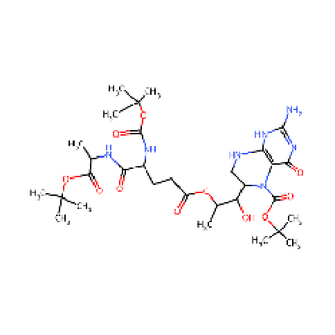 CC(NC(=O)C(CCC(=O)OC(C)C(O)C1CNc2[nH]c(N)nc(=O)c2N1C(=O)OC(C)(C)C)NC(=O)OC(C)(C)C)C(=O)OC(C)(C)C